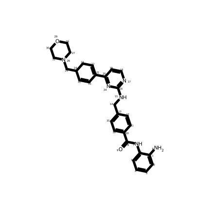 Nc1ccccc1NC(=O)c1ccc(CNc2nccc(C3=CCC(CN4CCOCC4)C=C3)n2)cc1